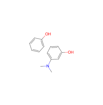 CN(C)c1cccc(O)c1.Oc1ccccc1